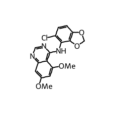 COc1cc(OC)c2c(Nc3c(Cl)ccc4c3OCO4)ncnc2c1